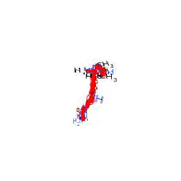 COc1nn(CCOCCOCCOCCOCCOCCOCCNS(=O)(=O)c2ccc(Nc3ncc(Br)c(Nc4cccc(F)c4C(N)=O)n3)cc2)cc1Nc1nc(N2C[C@@H](F)[C@H](NC(=O)OC(C)(C)C)C2)nc2c1ncn2C